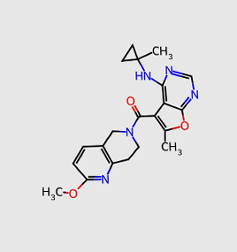 COc1ccc2c(n1)CCN(C(=O)c1c(C)oc3ncnc(NC4(C)CC4)c13)C2